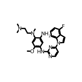 COc1cc(N(C)CCN(C)C)c(N)cc1Nc1nccc(-n2ccc3c(F)cccc32)n1